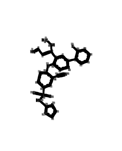 CN/C(=C\C=N)c1cc(-c2ccccc2F)ncc1Oc1ccc(S(=O)(=O)Nc2nccs2)cc1C#N